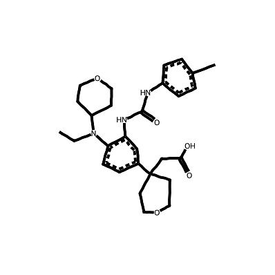 CCN(c1ccc(C2(CC(=O)O)CCOCC2)cc1NC(=O)Nc1ccc(C)cc1)C1CCOCC1